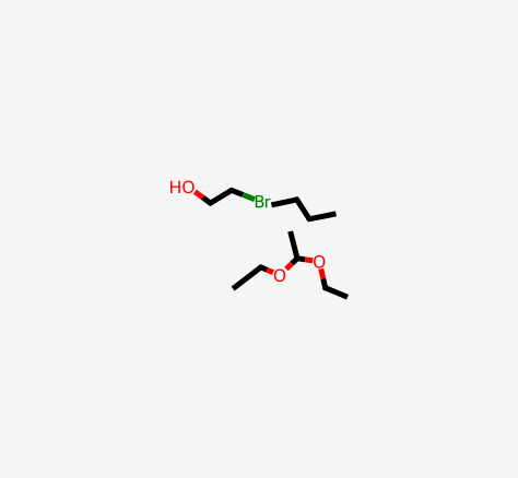 CCCC.CCOC(C)OCC.OCCBr